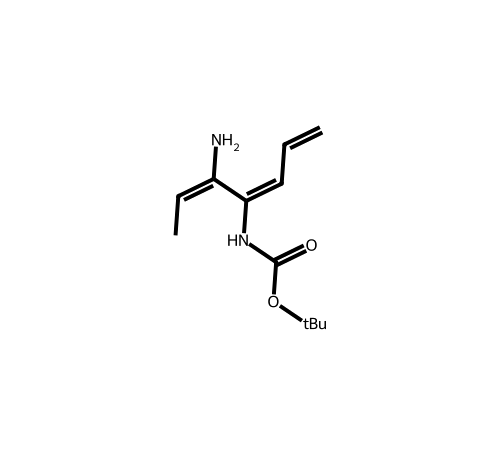 C=C/C=C(NC(=O)OC(C)(C)C)\C(N)=C/C